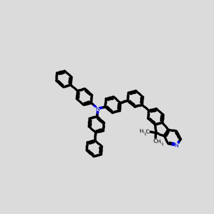 CC1(C)c2cnccc2-c2ccc(-c3cccc(-c4ccc(N(c5ccc(-c6ccccc6)cc5)c5ccc(-c6ccccc6)cc5)cc4)c3)cc21